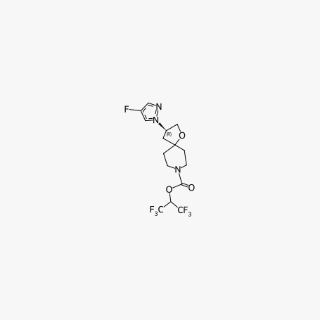 O=C(OC(C(F)(F)F)C(F)(F)F)N1CCC2(CC1)C[C@@H](n1cc(F)cn1)CO2